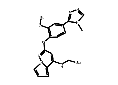 CCOc1cc(-c2nncn2C)ccc1Nc1nc(NCC(C)(C)C)c2cccn2n1